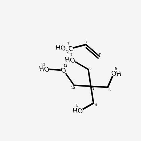 C=CC(=O)O.OCC(CO)(CO)COO